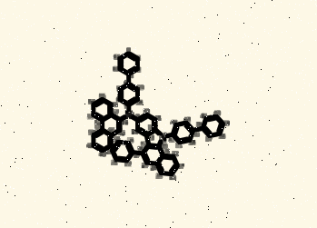 c1ccc(-c2ccc(N(c3ccc4c(c3)c3c(-c5ccccc5)cc5ccccc5c3n4-c3ccc(-c4ccccc4)cc3)c3cc4ccccc4c4ccccc34)cc2)cc1